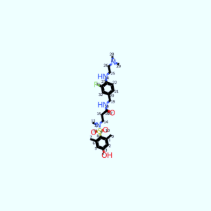 Cc1cc(O)cc(C)c1S(=O)(=O)N(C)CCC(=O)NCc1ccc(NCCN(C)C)c(F)c1